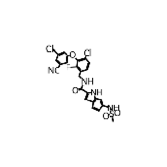 CS(=O)(=O)Nc1ccc2cc(C(=O)NCc3ccc(Cl)c(Oc4cc(Cl)cc(C#N)c4)c3F)[nH]c2c1